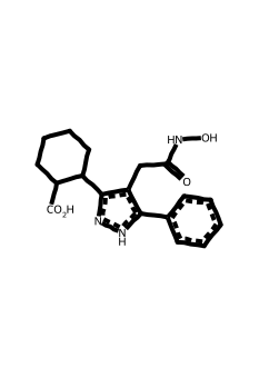 O=C(Cc1c(C2CCCCC2C(=O)O)n[nH]c1-c1ccccc1)NO